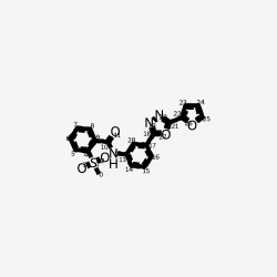 CS(=O)(=O)c1ccccc1C(=O)Nc1cccc(-c2nnc(-c3ccco3)o2)c1